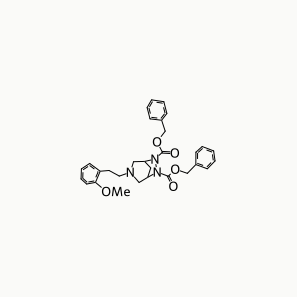 COc1ccccc1CCN1CC2CC(C1)N(C(=O)OCc1ccccc1)N2C(=O)OCc1ccccc1